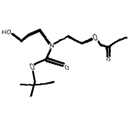 CC(=O)OCCN(CCO)C(=O)OC(C)(C)C